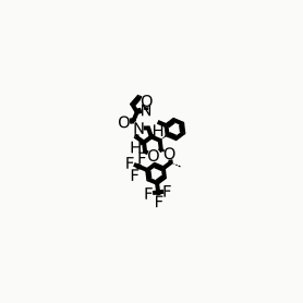 Cc1ccccc1[C@@H]1[C@@H](O[C@H](C)c2cc(C(F)(F)F)cc(C(F)(F)F)c2)OC[C@@H]2CN(C(=O)c3ccon3)C[C@H]21